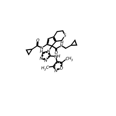 Cc1noc(C)c1Nc1nncn1C1(C(=O)NCC2CC2)C(NC(=O)C2CC2)=CC2=C1CSCC2